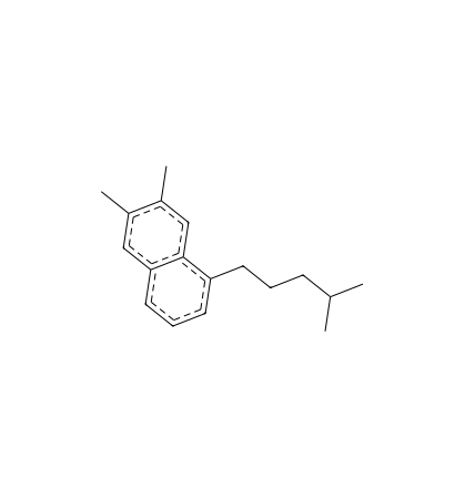 Cc1cc2cccc(CCCC(C)C)c2cc1C